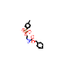 Cc1ccc(S(=O)(=O)OCCN(C)C(=O)OCc2ccccc2)cc1